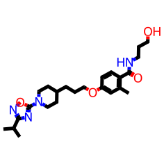 Cc1cc(OCCCC2CCN(c3nc(C(C)C)no3)CC2)ccc1C(=O)NCCCO